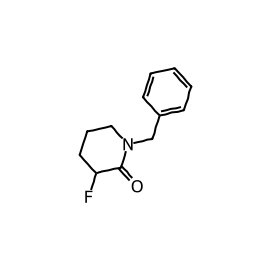 O=C1C(F)CCCN1Cc1ccccc1